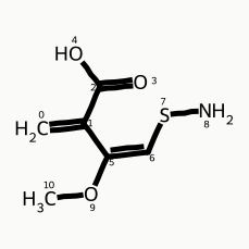 C=C(C(=O)O)/C(=C\SN)OC